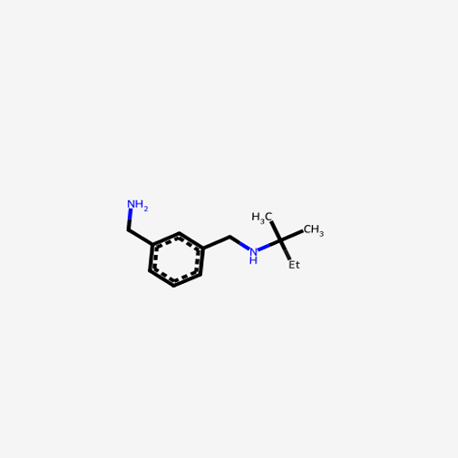 CCC(C)(C)NCc1cccc(CN)c1